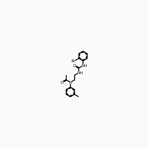 CC(=O)N(CCNC(=O)Nc1ccccc1Br)c1cccc(C)c1